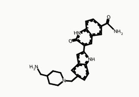 NCC1CCN(Cc2ccc3[nH]c(-c4cc5cc(C(N)=O)ccc5[nH]c4=O)cc3c2)CC1